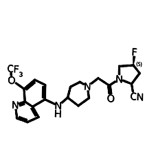 N#CC1C[C@H](F)CN1C(=O)CN1CCC(Nc2ccc(OC(F)(F)F)c3ncccc23)CC1